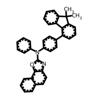 CC1(C)c2ccccc2-c2c(-c3ccc(N(c4ccccc4)c4nc5ccc6ccccc6c5o4)cc3)cccc21